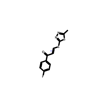 Cc1nnc(S/C=C/C(=O)c2ccc(F)cc2)s1